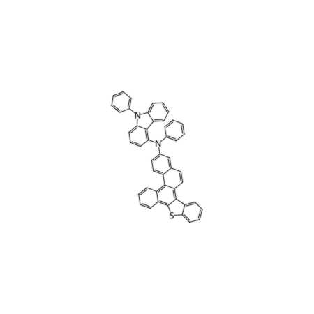 c1ccc(N(c2ccc3c(ccc4c3c3ccccc3c3sc5ccccc5c43)c2)c2cccc3c2c2ccccc2n3-c2ccccc2)cc1